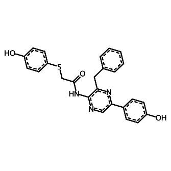 O=C(CSc1ccc(O)cc1)Nc1ncc(-c2ccc(O)cc2)nc1Cc1ccccc1